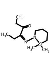 CCC(=O)C(CC)=NN1CCCC[Si]1(C)C